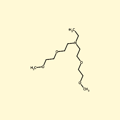 [CH2]CN(CCOCCOC)CCOCCOC